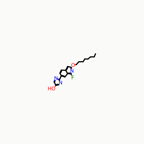 CCCCCCCCOc1cc2ccc(-c3ncc(O)cn3)cc2c(F)n1